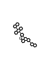 c1ccc2cc(-c3ccc4cc5c6c(cccc6c4c3)Oc3cc(-c4c6ccccc6c(-c6cccc7ccccc67)c6ccccc46)ccc3-5)ccc2c1